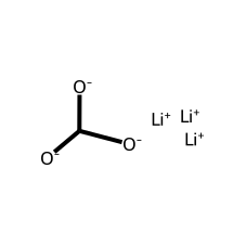 [Li+].[Li+].[Li+].[O-]C([O-])[O-]